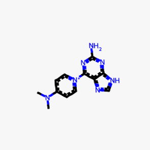 CN(C)c1cc[n+](-c2nc(N)nc3[nH]cnc23)cc1